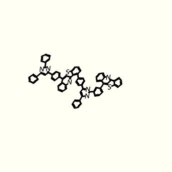 c1ccc(-c2cc(-c3ccc(-c4c5ccccc5nc5c4sc4cccc(-c6ccc(-c7cc(-c8ccccc8)nc(-c8cccc(-c9c%10ccccc%10nc%10c9sc9ccccc9%10)c8)n7)cc6)c45)cc3)nc(-c3ccccc3)n2)cc1